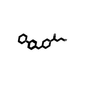 CC(C)CCC(=O)N1CCC(Cc2ccc(N3CCCCC3)cc2)CC1